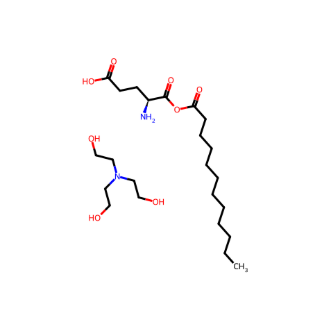 CCCCCCCCCCCC(=O)OC(=O)[C@@H](N)CCC(=O)O.OCCN(CCO)CCO